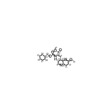 COC(=O)C(=Cc1ccnc2ccc(OC)nc12)NC(=O)OCc1ccccc1